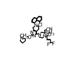 CN1CCC[C@H]1COc1nc2c(c(N3CCN(C(=O)/C=C/C(F)F)[C@]([SiH3])(CC#N)C3)n1)CCN(c1cccc3cccc(Cl)c13)C2